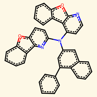 c1ccc(-c2cc(N(c3ccc4oc5ccccc5c4n3)c3ccnc4oc5ccccc5c34)cc3ccccc23)cc1